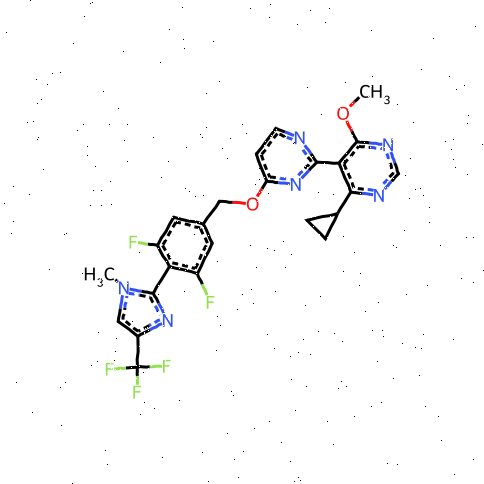 COc1ncnc(C2CC2)c1-c1nccc(OCc2cc(F)c(-c3nc(C(F)(F)F)cn3C)c(F)c2)n1